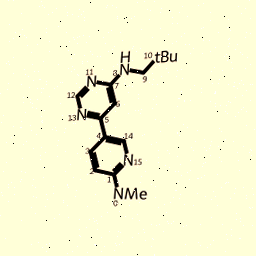 CNc1ccc(-c2cc(NCC(C)(C)C)ncn2)cn1